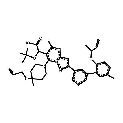 C=CCOC1(C)CCN(c2c(C(OC(C)(C)C)C(=O)O)c(C)nc3cc(-c4cccc(-c5cc(C)ccc5OC(C)C=C)c4)nn23)CC1